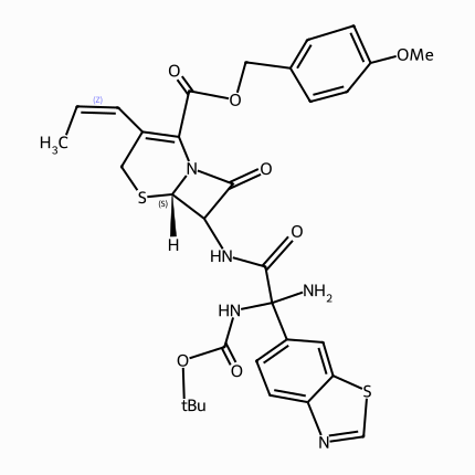 C/C=C\C1=C(C(=O)OCc2ccc(OC)cc2)N2C(=O)C(NC(=O)C(N)(NC(=O)OC(C)(C)C)c3ccc4ncsc4c3)[C@@H]2SC1